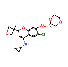 CC1(C2C=C(NC3CC3)c3cc(Cl)c(OC[C@H]4COCCO4)cc3O2)COC1